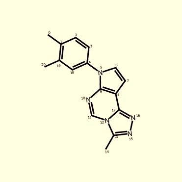 Cc1ccc(-n2ccc3c2ncn2c(C)nnc32)cc1C